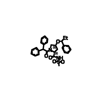 CCC(O[C@H]1C[C@@H](C(=O)NS(C)(=O)=O)N(C(=O)C(c2ccccc2)c2ccccc2)C1)c1ccccc1